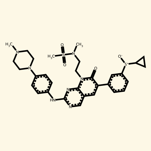 CN1CCN(c2ccc(Nc3ncc4cc(-c5cccc([S+]([O-])C6CC6)c5)c(=O)n(CCN(C)S(C)(=O)=O)c4n3)cc2)CC1